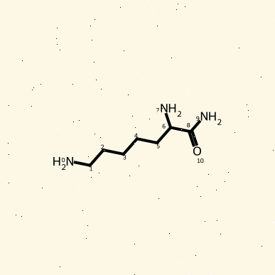 NCCCCCC(N)C(N)=O